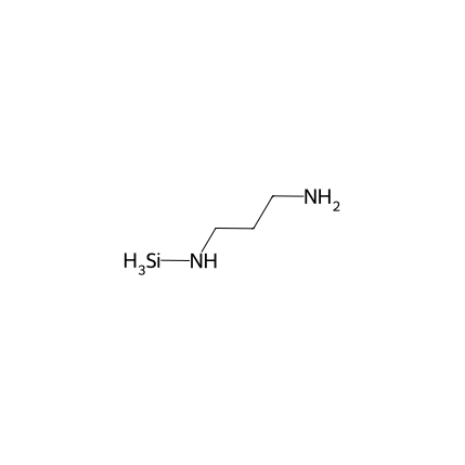 NCCCN[SiH3]